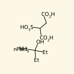 CCCCCC(O)(CC)CC.N.O=C(O)CC(C(=O)O)S(=O)(=O)O